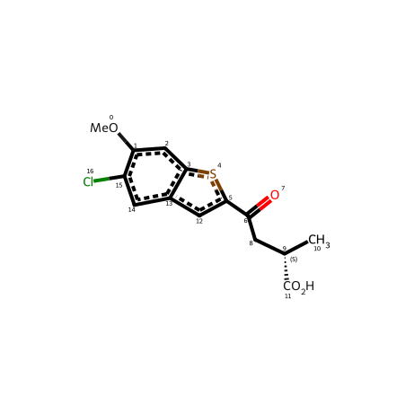 COc1cc2sc(C(=O)C[C@H](C)C(=O)O)cc2cc1Cl